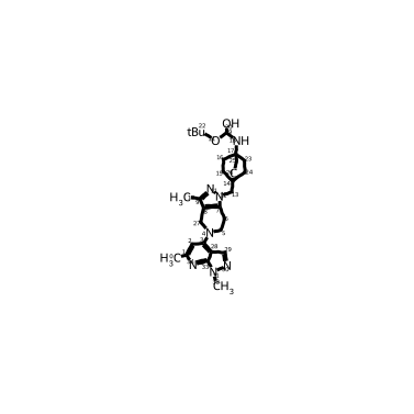 Cc1cc(N2CCc3c(c(C)nn3CC34CCC(NC(O)OC(C)(C)C)(CC3)CC4)C2)c2cnn(C)c2n1